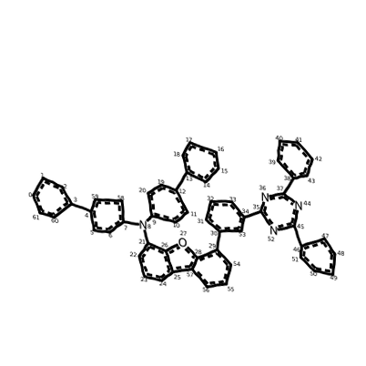 c1ccc(-c2ccc(N(c3ccc(-c4ccccc4)cc3)c3cccc4c3oc3c(-c5cccc(-c6nc(-c7ccccc7)nc(-c7ccccc7)n6)c5)cccc34)cc2)cc1